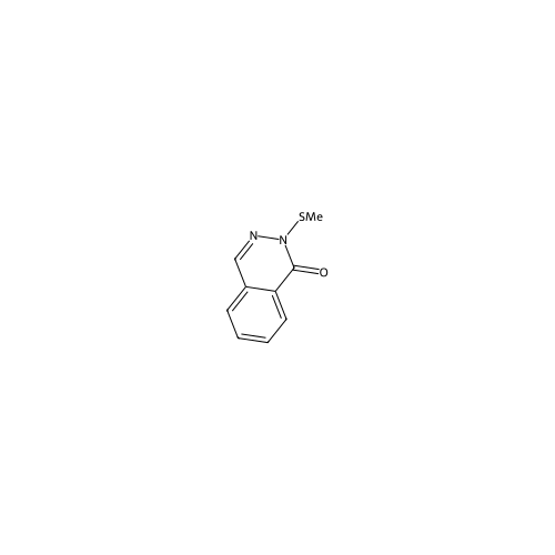 CSn1ncc2ccccc2c1=O